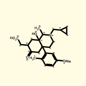 COc1ccc(C)c(C23CCN(CC4CC4)C(C)C2(O)CC(CC(=O)O)C(=O)C3)c1